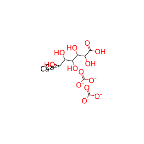 O=C(O)C(O)C(O)C(O)C(O)CO.O=C([O-])[O-].O=C([O-])[O-].[Ca+2].[Ca+2]